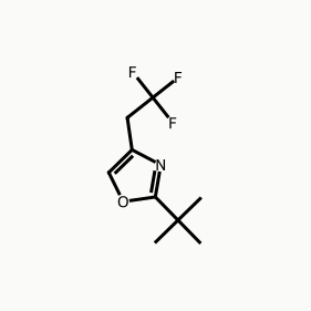 CC(C)(C)c1nc(CC(F)(F)F)co1